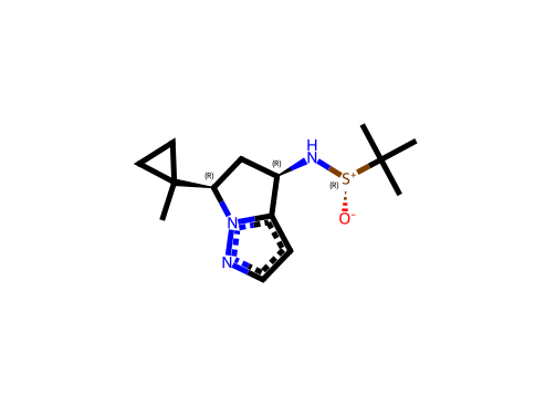 CC1([C@H]2C[C@@H](N[S@@+]([O-])C(C)(C)C)c3ccnn32)CC1